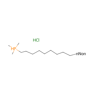 CCCCCCCCCCCCCCCCCC[PH](C)(C)C.Cl